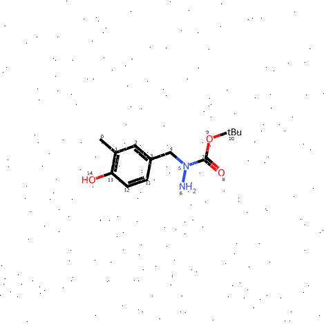 Cc1cc(CN(N)C(=O)OC(C)(C)C)ccc1O